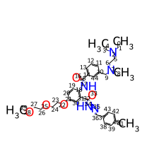 CCN(CC)CCN(C)Cc1cccc(C(=O)Nc2ccc(OCCOCCOC)cc2C(=O)NN=Cc2ccc(C)cc2)c1